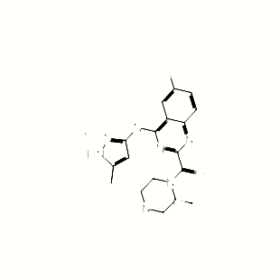 Cc1cc(Nc2nc(C(=O)N3CCNC[C@@H]3C)nc3ccc(Cl)cc23)n[nH]1.Cl